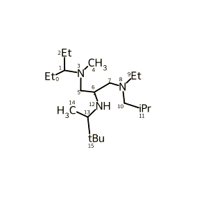 CCC(CC)N(C)C[C](CN(CC)CC(C)C)NC(C)C(C)(C)C